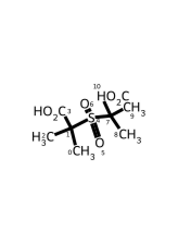 CC(C)(C(=O)O)S(=O)(=O)C(C)(C)C(=O)O